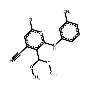 COC(OC)c1c(C#N)cc(Cl)nc1Nc1cccc(C)c1